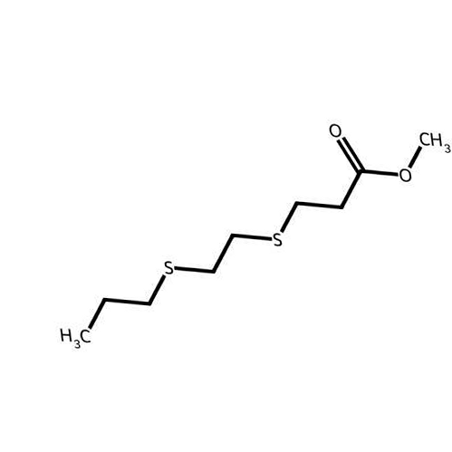 CCCSCCSCCC(=O)OC